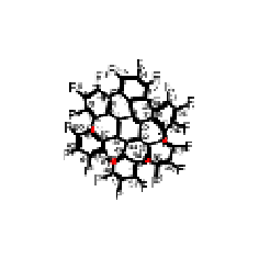 Fc1c(F)c(F)c(-c2c(-c3c(F)c(F)c(F)c(F)c3F)c(-c3c(F)c(F)c(F)c(F)c3F)c(-c3c(F)c(F)c(F)c(F)c3F)c(-c3c(F)c(F)c(F)c(F)c3F)c2-c2c(F)c(F)c(F)c(F)c2F)c(F)c1F